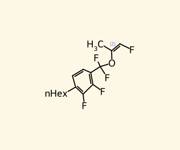 CCCCCCc1ccc(C(F)(F)O/C(C)=C\F)c(F)c1F